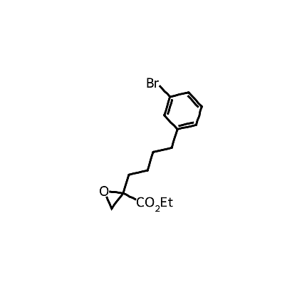 CCOC(=O)C1(CCCCc2cccc(Br)c2)CO1